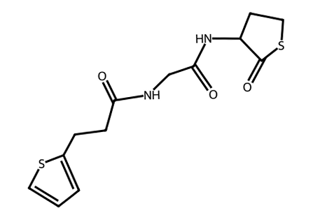 O=C(CCc1cccs1)NCC(=O)NC1CCSC1=O